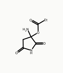 CCC(=O)OC1(N)CC(=O)NC1=O